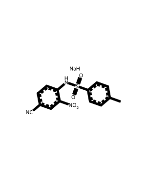 Cc1ccc(S(=O)(=O)Nc2ccc(C#N)cc2[N+](=O)[O-])cc1.[NaH]